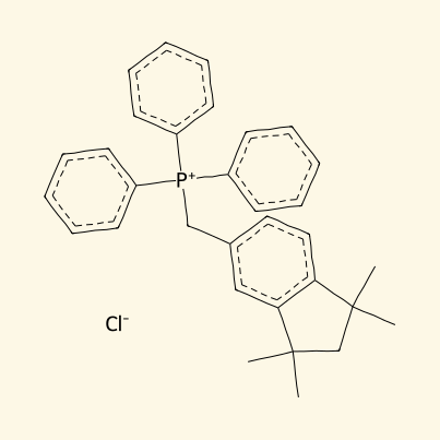 CC1(C)CC(C)(C)c2cc(C[P+](c3ccccc3)(c3ccccc3)c3ccccc3)ccc21.[Cl-]